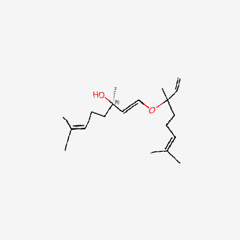 C=CC(C)(CCC=C(C)C)OC=C[C@](C)(O)CCC=C(C)C